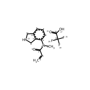 C=CC(=O)N(C)c1cccc2c1CNC2.O=C(O)C(F)(F)F